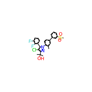 Cc1cc(-c2cccc(S(C)(=O)=O)c2)ccc1-n1nc(C(C)(C)O)c(Cl)c1-c1cccc(F)c1F